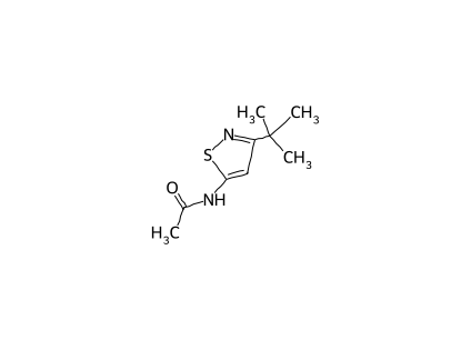 CC(=O)Nc1cc(C(C)(C)C)ns1